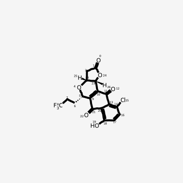 O=C1C[C@H]2O[C@@H](CCC(F)(F)F)C3=C(C(=O)c4c(Cl)ccc(O)c4C3=O)[C@H]2O1